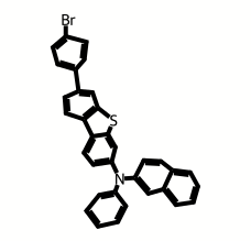 Brc1ccc(-c2ccc3c(c2)sc2cc(N(c4ccccc4)c4ccc5ccccc5c4)ccc23)cc1